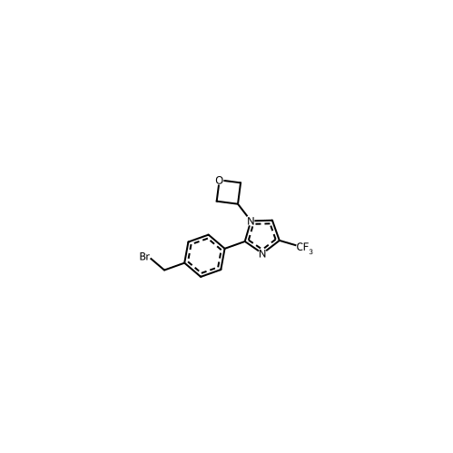 FC(F)(F)c1cn(C2COC2)c(-c2ccc(CBr)cc2)n1